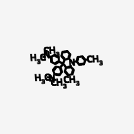 Cc1ccc(N2c3ccccc3C(c3ccc(N(C)C)cc3)(c3ccc(N(C)C)cc3)c3cc(C)ccc32)cc1